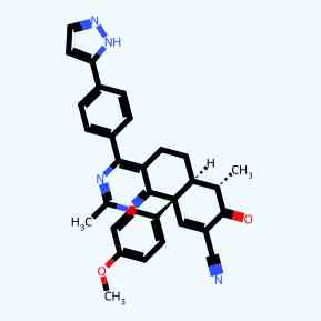 COc1ccc([C@]23C=C(C#N)C(=O)[C@@H](C)[C@@H]2CCc2c(-c4ccc(-c5ccn[nH]5)cc4)nc(C)nc23)cc1